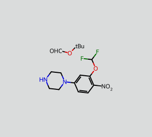 CC(C)(C)OC=O.O=[N+]([O-])c1ccc(N2CCNCC2)cc1OC(F)F